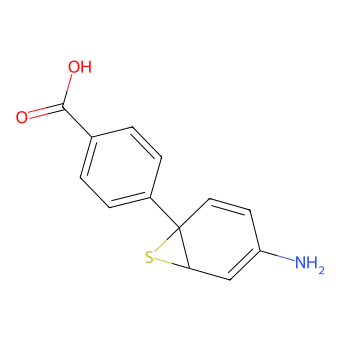 NC1=CC2SC2(c2ccc(C(=O)O)cc2)C=C1